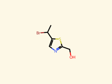 CC(Br)c1cnc(CO)s1